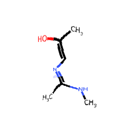 CN/C(C)=N\C=C(C)O